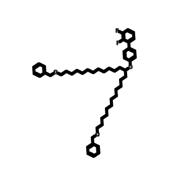 Fc1cccc(-c2ccc(OC(CCCCCCCCCCCCOCc3ccccc3)CCCCCCCCCCCCOCc3ccccc3)cc2)c1F